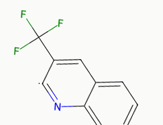 FC(F)(F)c1[c]nc2ccccc2c1